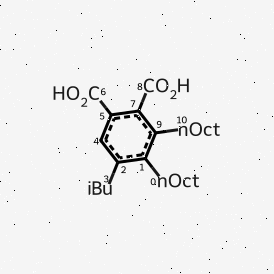 CCCCCCCCc1c(C(C)CC)cc(C(=O)O)c(C(=O)O)c1CCCCCCCC